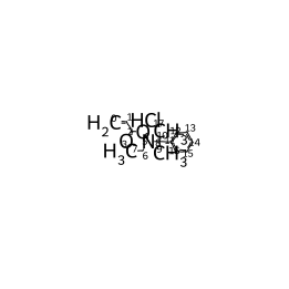 C=CC(=O)ON(CC)C(C)(C)c1ccccc1.Cl